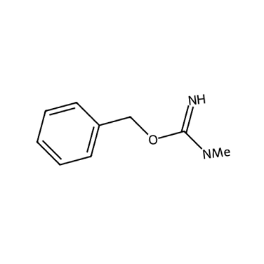 CNC(=N)OCc1ccccc1